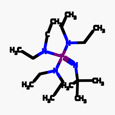 CCN(CC)P(=NC(C)(C)C)(N(CC)CC)N(CC)CC